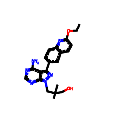 CCOc1ccc2cc(-c3nn(CC(C)(C)CO)c4ncnc(N)c34)ccc2n1